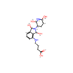 O=C(O)CCCNc1cccc2c1C(O)N(C1CCC(O)NC1O)C2O